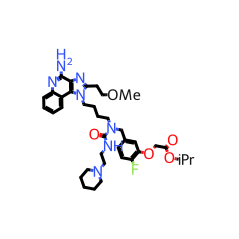 COCCc1nc2c(N)nc3ccccc3c2n1CCCCN(Cc1ccc(F)c(OCC(=O)OC(C)C)c1)C(=O)NCCN1CCCCC1